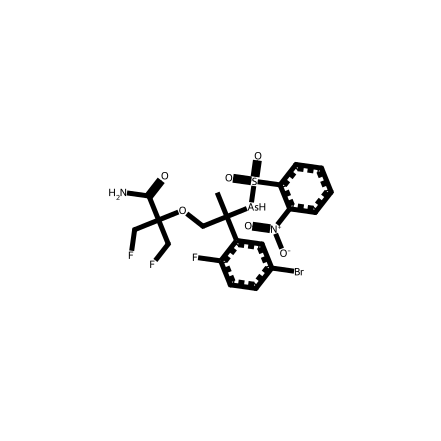 CC(COC(CF)(CF)C(N)=O)([AsH]S(=O)(=O)c1ccccc1[N+](=O)[O-])c1cc(Br)ccc1F